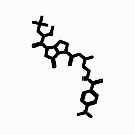 COC(CC(C)(C)C)C(=O)N1CC(=O)C2C1CCN2C(=O)CC(C)CCNC(=O)c1ccc(N(C)C)cc1